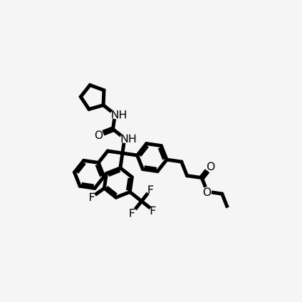 CCOC(=O)CCc1ccc(C(Cc2ccccc2)(NC(=O)NC2CCCC2)c2cc(F)cc(C(F)(F)F)c2)cc1